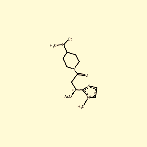 CCN(C)C1CCN(C(=O)C[C@H](OC(C)=O)c2nccn2C)CC1